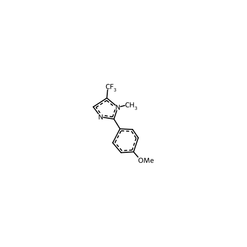 COc1ccc(-c2ncc(C(F)(F)F)n2C)cc1